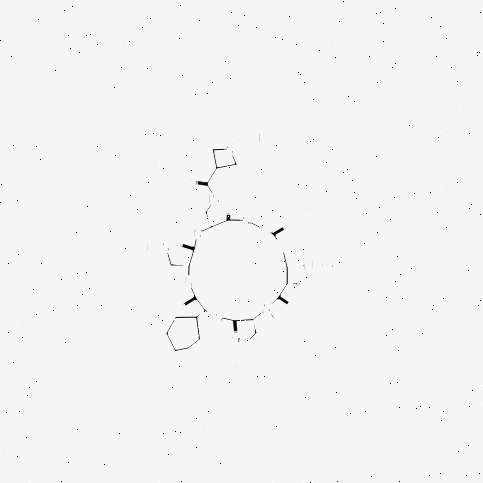 CCCCCC[C@H]1OC(=O)CNC(=O)[C@H](CNC(=O)C2CN(C(=O)O)C2)NC(=O)[C@H](CN)NC(=O)[C@H](C2CCCCC2)NC(=O)[C@H](CC(C)C)N(C)C(=O)[C@@H]1C